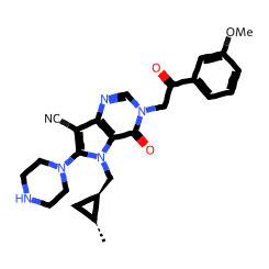 COc1cccc(C(=O)Cn2cnc3c(C#N)c(N4CCNCC4)n(C[C@@H]4C[C@H]4C)c3c2=O)c1